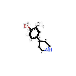 Cc1cc(C2CCNCC2)ccc1Br